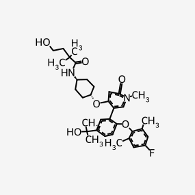 Cc1cc(F)cc(C)c1Oc1ccc(C(C)(C)O)cc1-c1cn(C)c(=O)cc1O[C@H]1CC[C@H](NC(=O)C(C)(C)CCO)CC1